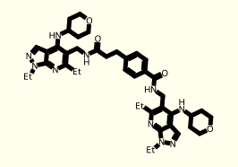 CCc1nc2c(cnn2CC)c(NC2CCOCC2)c1CNC(=O)CCc1ccc(C(=O)NCc2c(CC)nc3c(cnn3CC)c2NC2CCOCC2)cc1